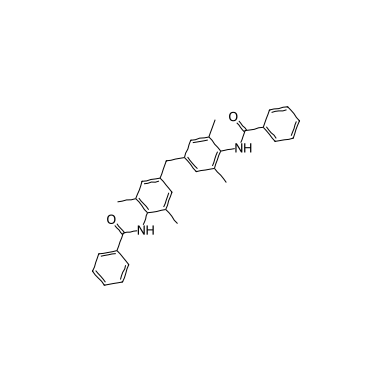 Cc1cc(Cc2cc(C)c(NC(=O)c3ccccc3)c(C)c2)cc(C)c1NC(=O)c1ccccc1